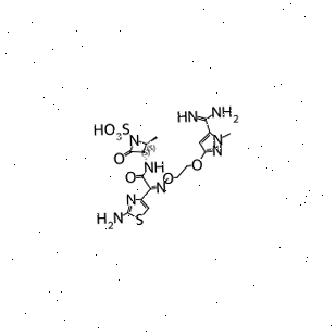 C[C@H]1[C@H](NC(=O)C(=NOCCOc2cc(C(=N)N)n(C)n2)c2csc(N)n2)C(=O)N1S(=O)(=O)O